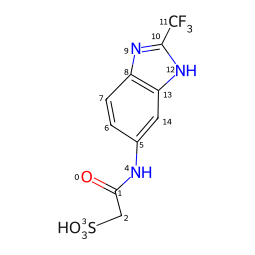 O=C(CS(=O)(=O)O)Nc1ccc2nc(C(F)(F)F)[nH]c2c1